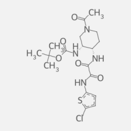 CC(=O)N1CC[C@H](NC(=O)C(=O)Nc2ccc(Cl)s2)[C@H](NC(=O)OC(C)(C)C)C1